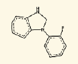 Fc1ccccc1N1CNc2ccccc21